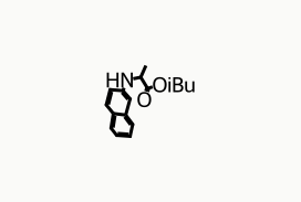 CC(C)COC(=O)C(C)Nc1ccc2ccccc2c1